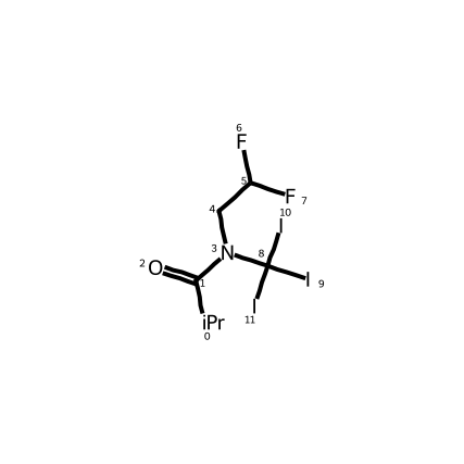 CC(C)C(=O)N(CC(F)F)C(I)(I)I